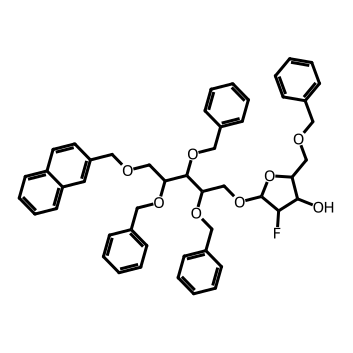 OC1C(COCc2ccccc2)OC(OCC(OCc2ccccc2)C(OCc2ccccc2)C(COCc2ccc3ccccc3c2)OCc2ccccc2)C1F